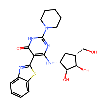 O=c1[nH]c(N2CCCCC2)nc(N[C@@H]2C[C@H](CO)[C@@H](O)[C@H]2O)c1-c1nc2ccccc2s1